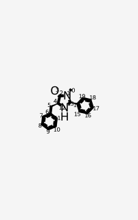 CN1C(=O)[C@H](Cc2ccccc2)N[C@@H]1c1ccccc1